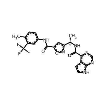 Cc1ccc(NC(=O)c2cc([C@@H](C)NC(=O)c3ncnc4[nH]ccc34)no2)cc1C(F)(F)F